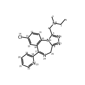 CCN(C)Cc1nnc2n1-c1ccc(Cl)cc1C(c1ccccn1)=NC2